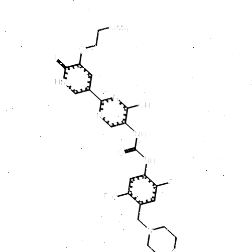 COCCOc1cc(-c2ncc(NC(=O)Nc3cc(C(F)(F)F)c(CN4CCN(C)CC4)cc3F)c(C)n2)c[nH]c1=O